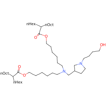 CCCCCCCCC(CCCCCC)C(=O)OCCCCCCN(CCCCCCOC(=O)C(CCCCCC)CCCCCCCC)CC1CCN(CCCCO)C1